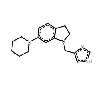 c1nc(CN2CCc3ccc(N4CCCCC4)cc32)c[nH]1